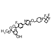 COC(=O)[C@@H]1C[C@@H](O)CN1C(=O)c1ccc(-c2cnc(OCC3CCN(CC4(C(F)(F)F)CCC4)CC3)cn2)cc1F